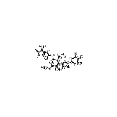 CO[C@@H]1[C@@H](n2cc(-c3cc(F)c(F)c(F)c3)nn2)[C@@H](O)[C@@H](CO)O[C@@H]1Cc1cc(C2(C(F)F)CC2)no1